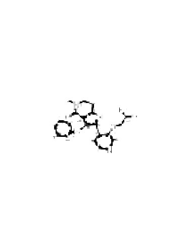 CN1CCc2[nH]c(-c3ccncc3OCC(F)F)c(Nc3ccccc3)c2C1=O